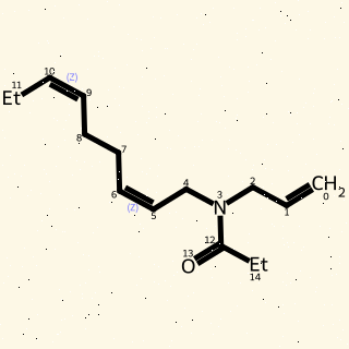 C=CCN(C/C=C\CC/C=C\CC)C(=O)CC